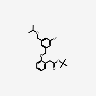 CC(C)OCc1cc(Br)cc(COc2ccccc2CC(=O)OC(C)(C)C)c1